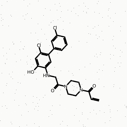 C=CC(=O)N1CCN(C(=O)CNc2cc(-c3cccc(Cl)c3)c(Cl)cc2O)CC1